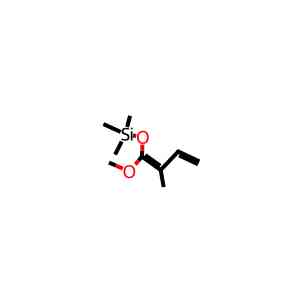 C=C/C(C)=C(/OC)O[Si](C)(C)C